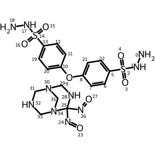 NNS(=O)(=O)c1ccc(Oc2ccc(S(=O)(=O)NN)cc2)cc1.O=NC1(N=O)NCN2CNCN1C2